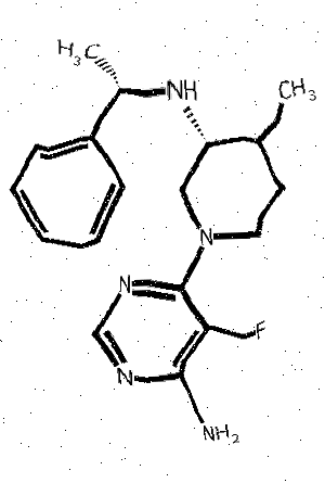 CC1CCN(c2ncnc(N)c2F)C[C@@H]1N[C@@H](C)c1ccccc1